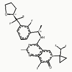 Cc1nc(N[C@H](C)c2cccc(C(F)(F)[C@@H]3CCCO3)c2F)c2cn(C3(C(F)F)CC3)c(=O)c(F)c2n1